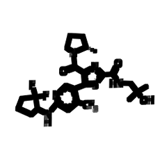 C[C@H]1CCCN1C(=O)c1nc(C(=O)NCC(C)(C)O)sc1-c1cnc(NC2CCCC2(F)F)cc1C(F)(F)F